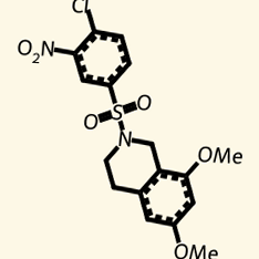 COc1cc2c(c(OC)c1)CN(S(=O)(=O)c1ccc(Cl)c([N+](=O)[O-])c1)CC2